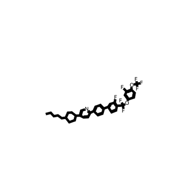 CCCCCC1CCC(c2ccc(-c3ccc(-c4ccc(C(F)(F)Oc5ccc(OC(F)(F)F)c(F)c5)c(F)c4)cc3)nc2)CC1